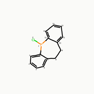 ClP1c2ccccc2CCc2ccccc21